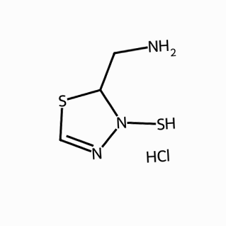 Cl.NCC1SC=NN1S